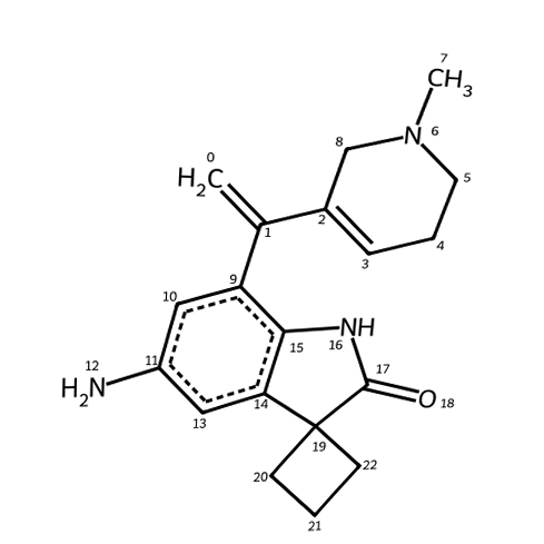 C=C(C1=CCCN(C)C1)c1cc(N)cc2c1NC(=O)C21CCC1